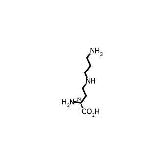 NCCCNCC[C@H](N)C(=O)O